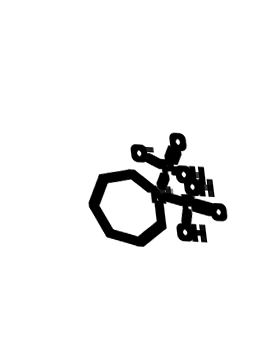 O=P([O-])(O)[N+]1(P(=O)(O)O)CCCCCC1